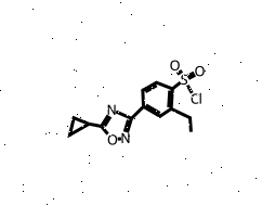 CCc1cc(-c2noc(C3CC3)n2)ccc1S(=O)(=O)Cl